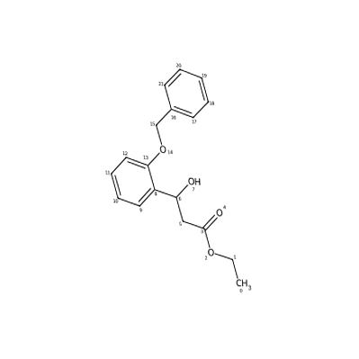 CCOC(=O)CC(O)c1ccccc1OCc1ccccc1